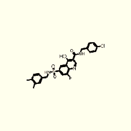 Cc1ccc(CNS(=O)(=O)c2cc(F)c3ncc(C(=O)NCc4ccc(Cl)cc4)c(O)c3c2)cc1C